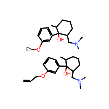 C=CCOc1cccc(C2(O)C(C)CCCC2CN(C)C)c1.CCOc1cccc(C2(O)C(C)CCCC2CN(C)C)c1